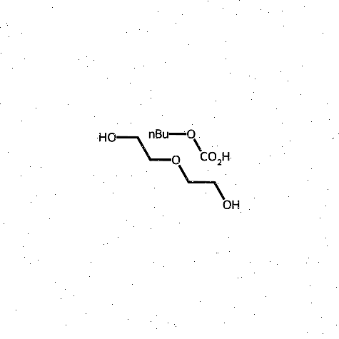 CCCCOC(=O)O.OCCOCCO